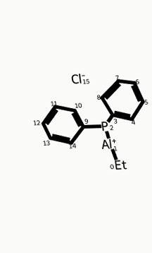 C[CH2][Al+][P](c1ccccc1)c1ccccc1.[Cl-]